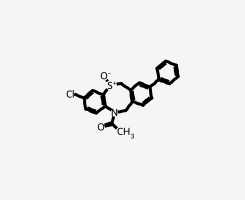 CC(=O)N1Cc2ccc(-c3ccccc3)cc2C[S+]([O-])c2cc(Cl)ccc21